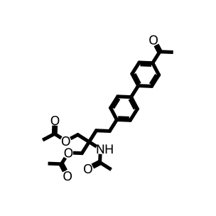 CC(=O)NC(CCc1ccc(-c2ccc(C(C)=O)cc2)cc1)(COC(C)=O)COC(C)=O